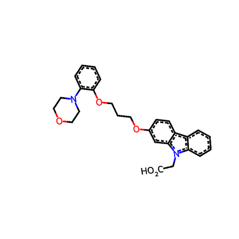 O=C(O)Cn1c2ccccc2c2ccc(OCCCOc3ccccc3N3CCOCC3)cc21